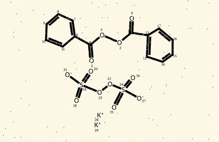 O=C(OOC(=O)c1ccccc1)c1ccccc1.O=S(=O)([O-])OOS(=O)(=O)[O-].[K+].[K+]